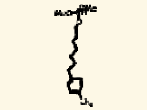 CO[SiH](OC)OCCCCCCCc1ccc(C(F)(F)F)cc1